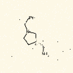 C[C](C)CN1CC[C@@H](CN)C1